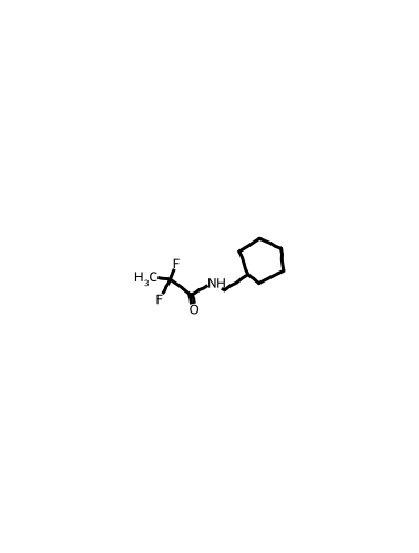 CC(F)(F)C(=O)NCC1CCCCC1